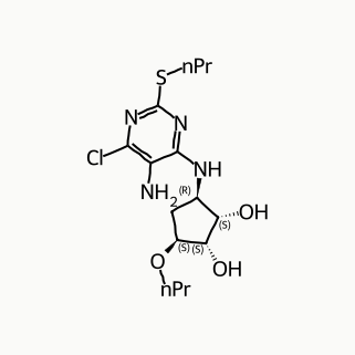 CCCO[C@H]1C[C@@H](Nc2nc(SCCC)nc(Cl)c2N)[C@H](O)[C@@H]1O